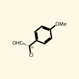 COc1ccc([C@H](Cl)C=O)cc1